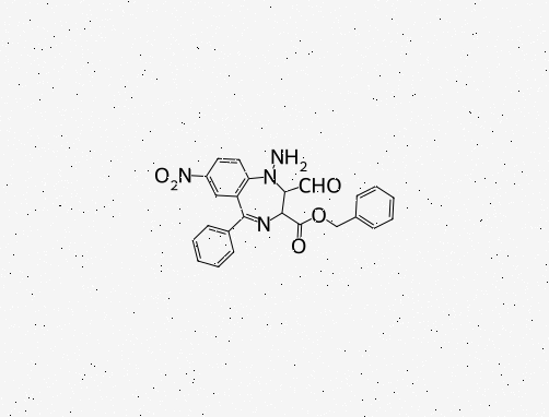 NN1c2ccc([N+](=O)[O-])cc2C(c2ccccc2)=NC(C(=O)OCc2ccccc2)C1C=O